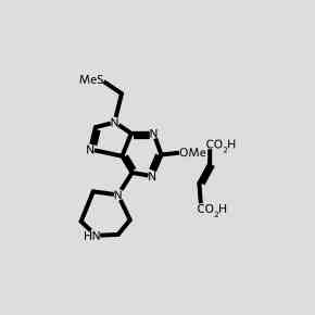 COc1nc(N2CCNCC2)c2ncn(CSC)c2n1.O=C(O)C=CC(=O)O